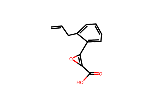 C=CCc1ccccc1C1=C(C(=O)O)O1